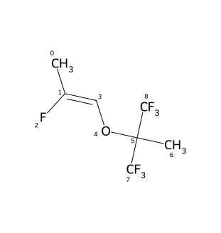 C/C(F)=C/OC(C)(C(F)(F)F)C(F)(F)F